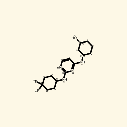 O[C@H]1CCC[C@@H](Nc2ccnc(NC3CCC(F)(F)CC3)n2)C1